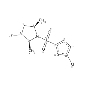 C[C@@H]1C[C@@H](F)[C@H](C)N1S(=O)(=O)c1ccc(Cl)s1